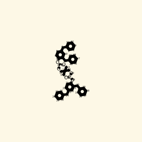 c1ccc(Cc2ccc(OP3OCC4(CO3)COP(Oc3ccc(Cc5ccccc5)cc3Cc3ccccc3)OC4)c(Cc3ccccc3)c2)cc1